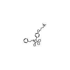 CN(C)CCCOc1ccc(C2N(CCc3ccccc3)C(=O)C2(Cl)Cl)cc1